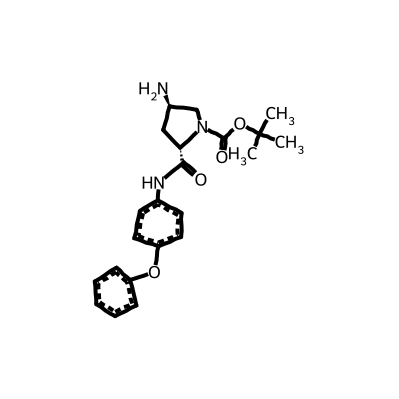 CC(C)(C)OC(=O)N1C[C@H](N)C[C@H]1C(=O)Nc1ccc(Oc2ccccc2)cc1